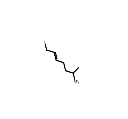 CC(CCC=CCF)C(F)(F)F